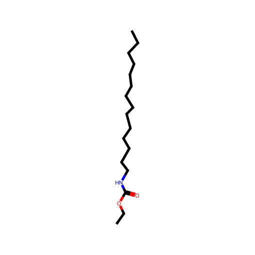 CCCCCCCCCCCCCCNC(=O)OCC